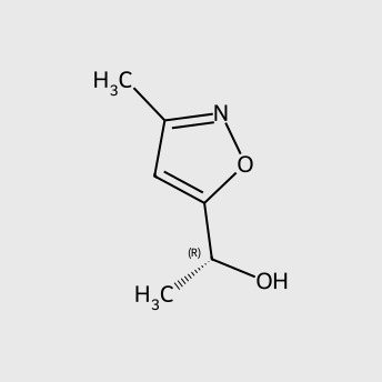 Cc1cc([C@@H](C)O)on1